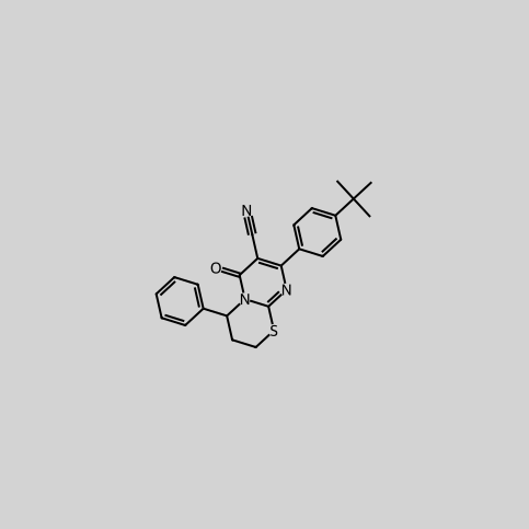 CC(C)(C)c1ccc(-c2nc3n(c(=O)c2C#N)C(c2ccccc2)CCS3)cc1